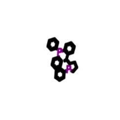 CC(c1ccccc1P(c1ccccc1)c1ccccc1)C1CCCP1c1ccccc1